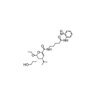 CCO[C@H]1OC(C(=O)NCCCCC(=O)Nc2ccccc2N)=C[C@@H](C(C)C)[C@@H]1CCCO